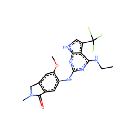 CCNc1nc(Nc2cc3c(cc2OC)CN(C)C3=O)nc2[nH]cc(C(F)(F)F)c12